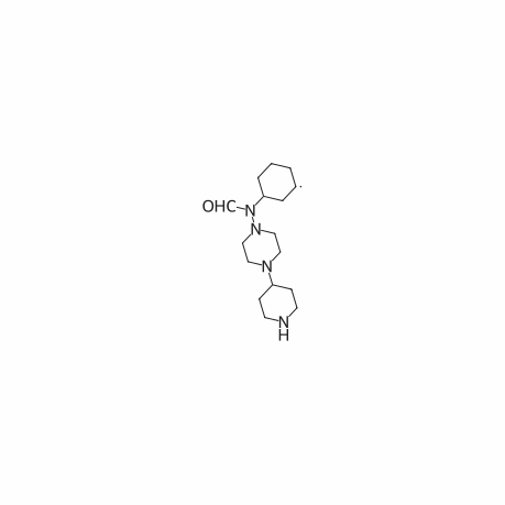 O=CN(C1C[CH]CCC1)N1CCN(C2CCNCC2)CC1